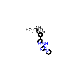 CC(C)(Cc1cccc(-c2ccnc(Nc3cncc(N4CCCCC4)n3)c2)c1)C(=O)O